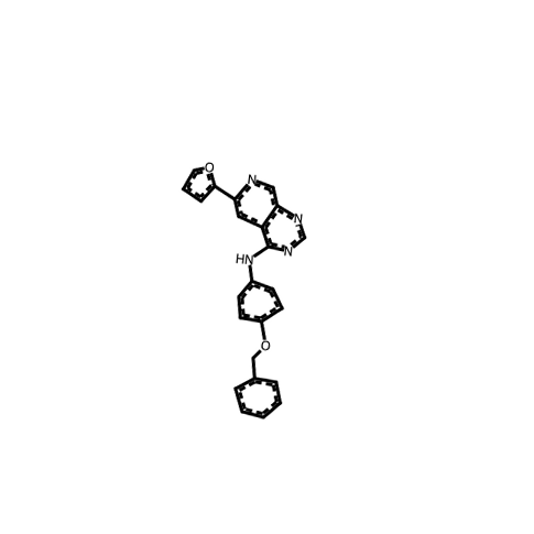 c1ccc(COc2ccc(Nc3ncnc4cnc(-c5ccco5)cc34)cc2)cc1